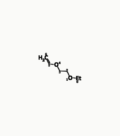 [CH2]COCCOC=C